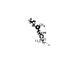 COC(=O)C(C)N1CCC(O)(c2ncc(-c3cc(C)cc(Nc4nccc(C(F)(F)F)n4)c3)s2)CC1